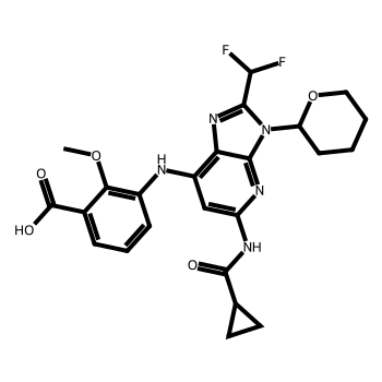 COc1c(Nc2cc(NC(=O)C3CC3)nc3c2nc(C(F)F)n3C2CCCCO2)cccc1C(=O)O